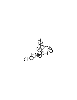 Nc1cc(CN2CCOCC2)cc2c(O)c(C(=O)NCc3ccc(Cl)cc3)cnc12